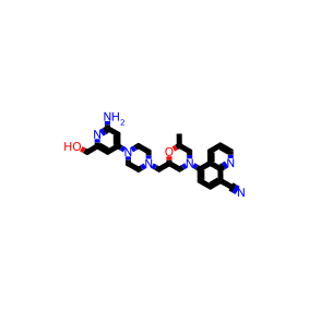 CC1CN(c2ccc(C#N)c3ncccc23)CC(CN2CCN(c3cc(N)nc(CO)c3)CC2)O1